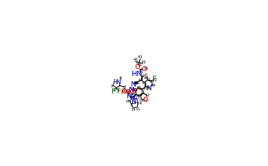 CN1CCC(F)(F)C1COc1nc(N2C3CCC2CN(C(=O)O)C3)c2c3c(c(-c4ncc(F)c5sc(NC(=O)OC(C)(C)C)c(C#N)c45)c(F)c2n1)COC3